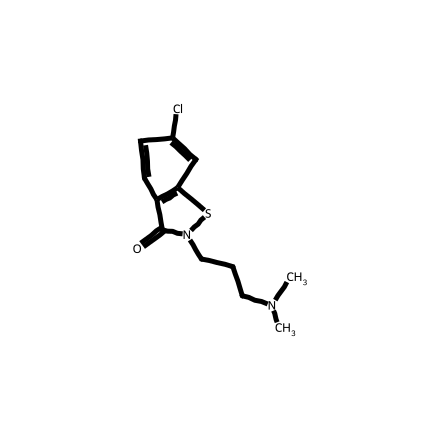 CN(C)CCCn1sc2cc(Cl)ccc2c1=O